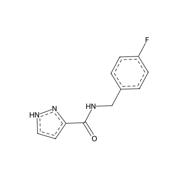 O=C(NCc1ccc(F)cc1)c1cc[nH]n1